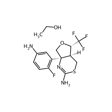 CCO.NC1=N[C@@]2(c3cc(N)ccc3F)CO[C@H](C(F)(F)F)[C@H]2CS1